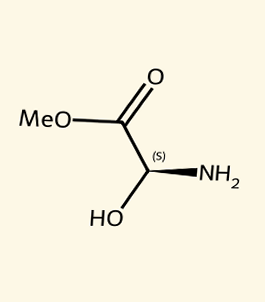 COC(=O)[C@@H](N)O